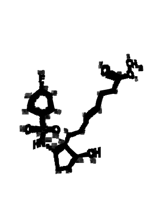 COC(=O)C=CCCCC[C@@H]1[C@@H](NS(=O)(=O)c2ccc(F)cc2)CC[C@@H]1O